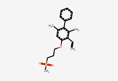 C=Cc1c(OCCCS(C)(=O)=O)cc(C)c(-c2ccccc2)c1C